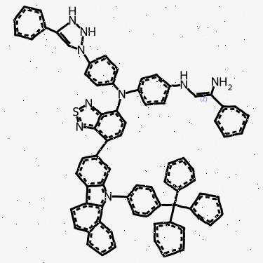 N/C(=C\Nc1ccc(N(c2ccc(N3C=C(c4ccccc4)NN3)cc2)c2ccc(-c3ccc4c5ccc6ccccc6c5n(-c5ccc(C(c6ccccc6)(c6ccccc6)c6ccccc6)cc5)c4c3)c3nsnc23)cc1)c1ccccc1